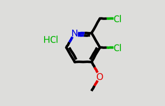 COc1ccnc(CCl)c1Cl.Cl